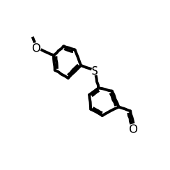 COc1ccc(Sc2cccc(C=O)c2)cc1